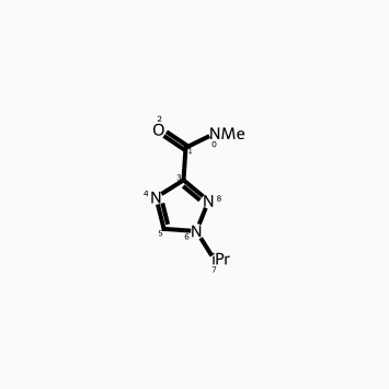 CNC(=O)c1ncn(C(C)C)n1